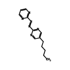 CCCCCc1cnc(N=Nc2ncccn2)nc1